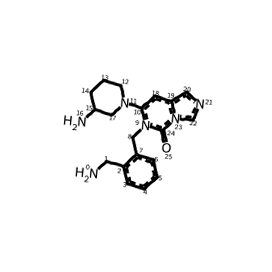 NCc1ccccc1Cn1c(N2CCCC(N)C2)cc2cncn2c1=O